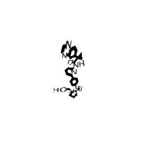 O=C(Nc1cccc(-c2ccc([S+]([O-])N3CCC[C@H]3CO)cc2)n1)C1(c2ccc3nccnc3c2)CC1